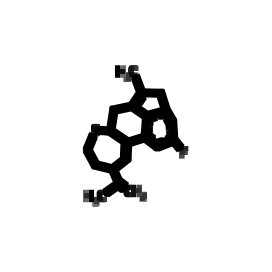 C=C(C)C1C=C2c3cc(F)cc4c3C(=C(C)C4)CC2SCC1